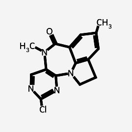 Cc1cc2c3c(c1)C(=O)N(C)c1cnc(Cl)nc1N3CC2